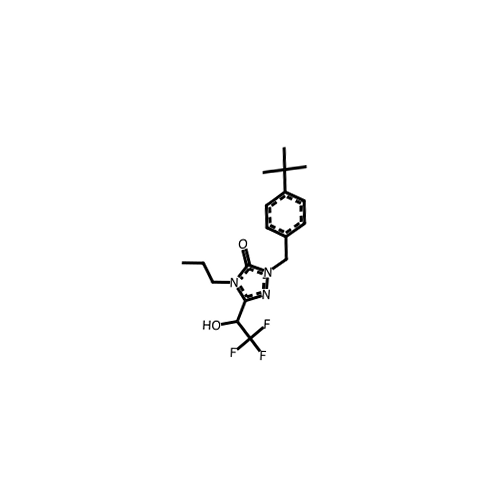 CCCn1c(C(O)C(F)(F)F)nn(Cc2ccc(C(C)(C)C)cc2)c1=O